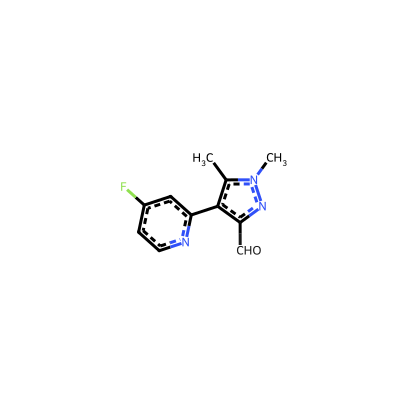 Cc1c(-c2cc(F)ccn2)c(C=O)nn1C